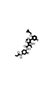 CCC(=O)NC1CCC(NC(=O)c2c(C)[nH]c3c(-c4cc(F)ccc4OCC4CC4)ncnc23)C(F)C1